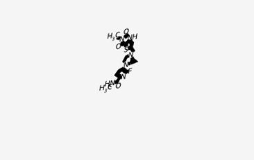 CCn1c(=O)[nH]c2cc(CN3CCN(c4ccc(C(=O)NC)nc4F)C4CC43)sc2c1=O